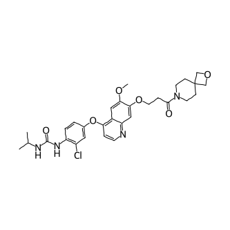 COc1cc2c(Oc3ccc(NC(=O)NC(C)C)c(Cl)c3)ccnc2cc1OCCC(=O)N1CCC2(CC1)COC2